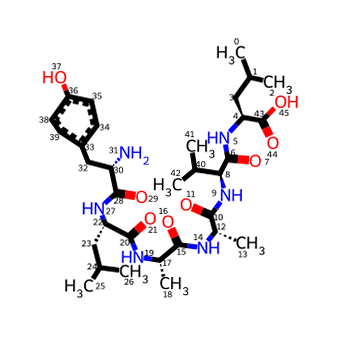 CC(C)C[C@H](NC(=O)[C@@H](NC(=O)[C@H](C)NC(=O)[C@H](C)NC(=O)[C@H](CC(C)C)NC(=O)[C@@H](N)Cc1ccc(O)cc1)C(C)C)C(=O)O